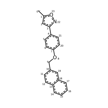 [CH2]c1cc(-c2ccc(OCc3ccc4ccccc4c3)cc2)no1